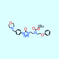 CC(C)(C)OC(=O)N(CCOc1ccccc1)CCn1nnn(-c2ccc(CN3CCOCC3)cc2)c1=O